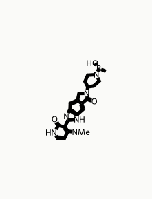 CNc1cc[nH]c(=O)c1-c1nc2cc3c(cc2[nH]1)C(=O)N(C1CCN(B(C)O)CC1)C3